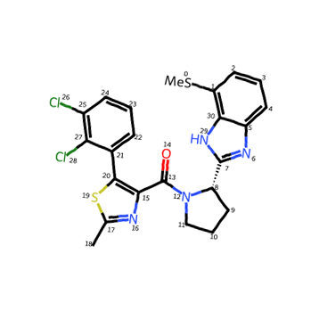 CSc1cccc2nc([C@@H]3CCCN3C(=O)c3nc(C)sc3-c3cccc(Cl)c3Cl)[nH]c12